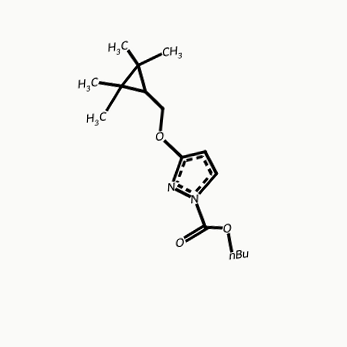 CCCCOC(=O)n1ccc(OCC2C(C)(C)C2(C)C)n1